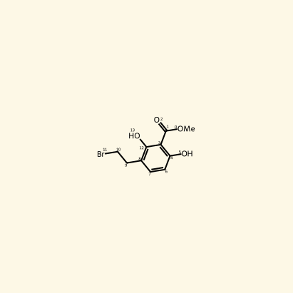 COC(=O)c1c(O)ccc(CCBr)c1O